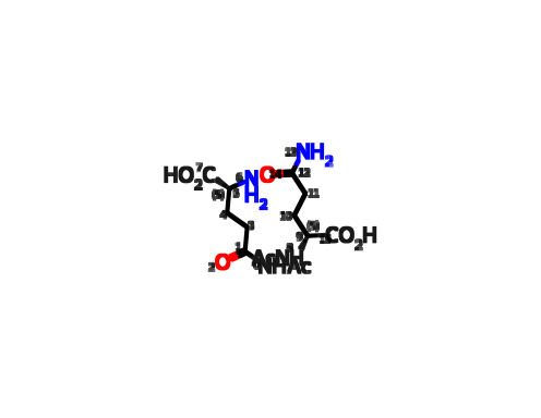 CC(=O)NC(=O)CC[C@H](N)C(=O)O.CC(=O)N[C@@H](CCC(N)=O)C(=O)O